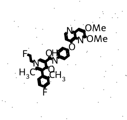 COc1cc2nccc(Oc3ccc(NC(=O)c4cn(CCF)c(C)c(-c5ccc(F)cc5C)c4=O)cc3)c2nc1OC